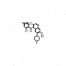 CCOC(=O)c1cnc2cc(OCC)c(N3CCN(C)CC3)cc2c1Nc1ccc(C)cc1Cl